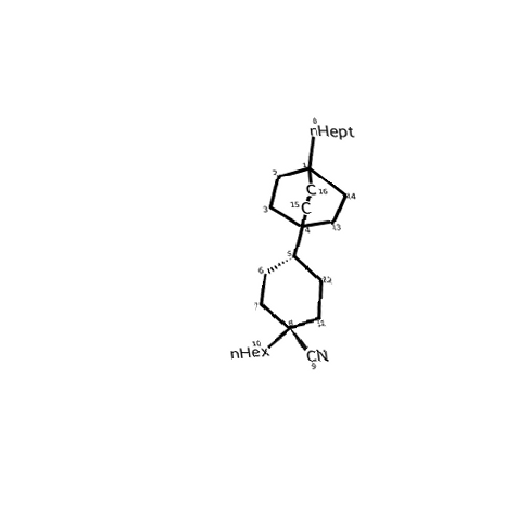 CCCCCCCC12CCC([C@H]3CC[C@@](C#N)(CCCCCC)CC3)(CC1)CC2